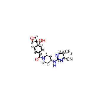 N#Cc1nc(NC2CCN(C(=O)c3ccc(C4(O)COC4)cc3)CC2)ncc1C(F)(F)F